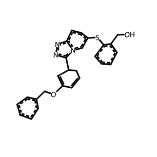 OCc1ccccc1Sc1ccc2nnc(C3C=C(OCc4ccccc4)C=CC3)n2c1